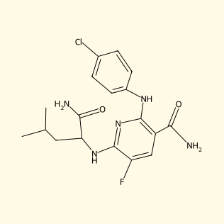 CC(C)CC(Nc1nc(Nc2ccc(Cl)cc2)c(C(N)=O)cc1F)C(N)=O